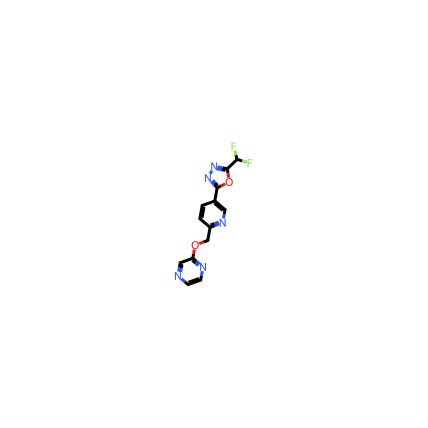 FC(F)c1nnc(-c2ccc(COc3cnccn3)nc2)o1